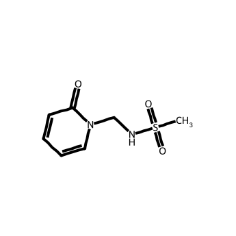 CS(=O)(=O)NCn1ccccc1=O